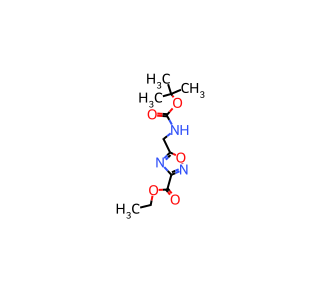 CCOC(=O)c1noc(CNC(=O)OC(C)(C)C)n1